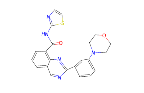 O=C(Nc1nccs1)c1cccc2cnc(-c3cccc(N4CCOCC4)c3)nc12